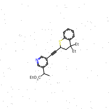 CCOC(=O)C(C)c1cncc(C#CC2CC(CC)(CC)c3ccccc3S2)c1